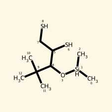 C[SiH](C)OC(C(S)CS)C(C)(C)C